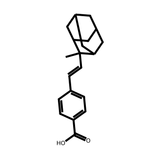 CC1(C=Cc2ccc(C(=O)O)cc2)C2CC3CC(C2)CC1C3